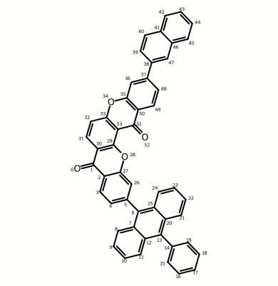 O=c1c2ccc(-c3c4ccccc4c(-c4ccccc4)c4ccccc34)cc2oc2c1ccc1oc3cc(-c4ccc5ccccc5c4)ccc3c(=O)c12